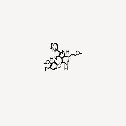 COCCC1CNC(=O)c2c1[nH]c(-c1ccncn1)c2Nc1cccc(F)c1OC